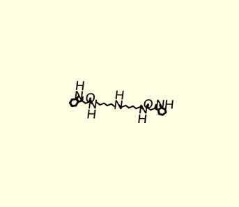 O=C(Cc1c[nH]c2ccccc12)NCCCCCCNCCCCCCNC(=O)Cc1c[nH]c2ccccc12